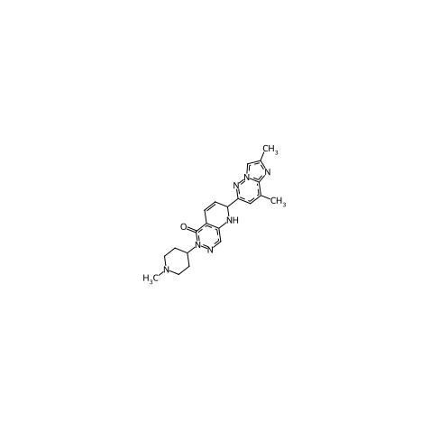 Cc1cn2nc(C3C=Cc4c(cnn(C5CCN(C)CC5)c4=O)N3)cc(C)c2n1